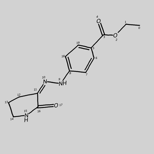 CCOC(=O)c1ccc(NN=C2CCCNC2=O)cc1